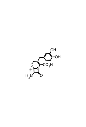 NC1C(=O)N2C(C(=O)O)=C(Cc3ccc(O)c(O)c3)CS[C@H]12